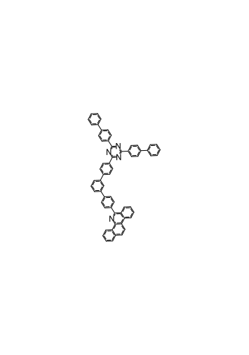 c1ccc(-c2ccc(-c3nc(-c4ccc(-c5ccccc5)cc4)nc(-c4ccc(-c5cccc(-c6ccc(-c7nc8c9ccccc9ccc8c8ccccc78)cc6)c5)cc4)n3)cc2)cc1